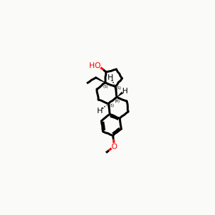 CC[C@]12CC[C@@H]3c4ccc(OC)cc4CC[C@H]3[C@@H]1CCC2O